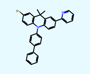 CC1(C)c2cc(Br)ccc2N(c2ccc(-c3ccccc3)cc2)c2ccc(-c3ccccn3)cc21